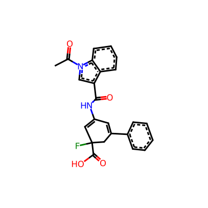 CC(=O)n1cc(C(=O)NC2=CC(F)(C(=O)O)CC(c3ccccc3)=C2)c2ccccc21